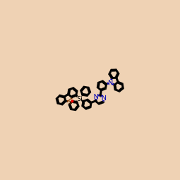 c1ccc([Si](c2ccccc2)(c2cccc(-c3ccnc(-c4cccc(-n5c6ccccc6c6ccccc65)c4)n3)c2)c2cccc3c2sc2ccccc23)cc1